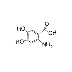 Nc1cc(O)c(O)cc1C(=O)O